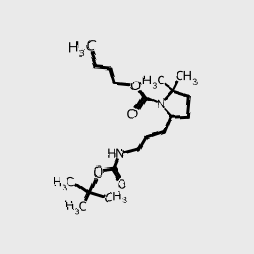 CCCCOC(=O)N1C(CCCNC(=O)OC(C)(C)C)CCC1(C)C